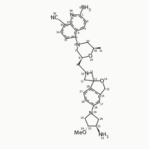 Bc1ccc2c(N3C[C@H](CN4CC5(C4)OCc4cc(N6C[C@@H](N)[C@H](OC)C6)ccc45)O[C@H](C)C3)ccc(C#N)c2n1